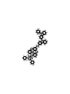 c1ccc(-c2nc(-c3ccccc3)nc(N3c4cccc5c4B4c6c(cc(CCc7ccc8c(c7)c7ccccc7n8-c7ccc8c(c7)c7ccccc7n8-c7ccccc7)cc6Oc6cccc3c64)O5)n2)cc1